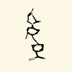 COC(=O)c1ccc(-c2ccc(N3CCN(C)C3=O)cc2C)cc1